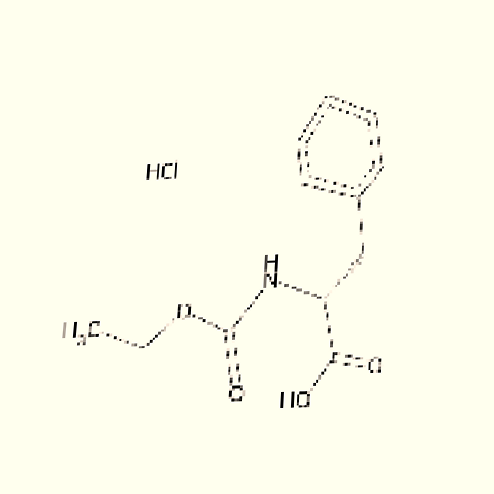 CCOC(=O)N[C@H](Cc1ccccc1)C(=O)O.Cl